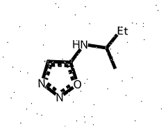 CCC(C)Nc1[c]nno1